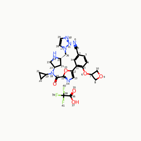 N#Cc1ccc(OC2COC2)c(-c2cnc(C(=O)N(C3CC3)[C@H]3CN[C@H](Cn4ccnn4)C3)o2)c1.O=C(O)C(F)(F)F